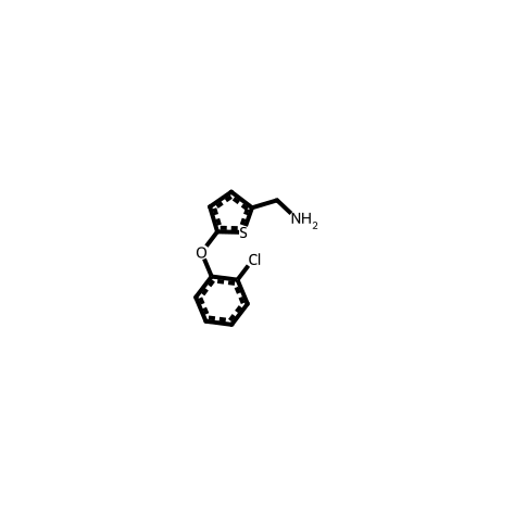 NCc1ccc(Oc2ccccc2Cl)s1